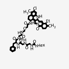 C=C1CCc2c(cc3n(c2=O)CC2=C4c5c(cc(Cl)c(C)c5CCC4NC(=O)COCNC(=O)CNC(=O)C(Cc4ccccc4)NC(=O)CNC(=O)CNC(=O)CCCCCC)NC23)C1CC